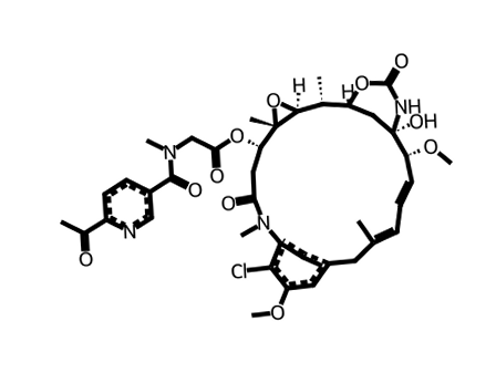 COc1cc2cc(c1Cl)N(C)C(=O)C[C@H](OC(=O)CN(C)C(=O)c1ccc(C(C)=O)nc1)[C@]1(C)O[C@H]1[C@H](C)[C@@H]1C[C@@](O)(NC(=O)O1)[C@H](OC)/C=C/C=C(\C)C2